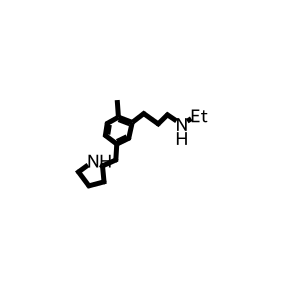 CCNCCCc1cc(CC2CCCN2)ccc1C